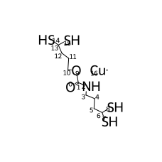 O=C(NCCCC(S)S)OCCCC(S)S.[Cu]